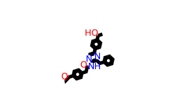 CC(O)c1ccc(-c2cnc(NC(=O)Cc3ccc(C4CO4)cc3)c(Cc3ccccc3)n2)cc1